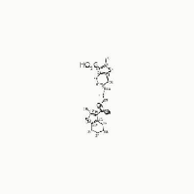 Cc1sc2c(c1C(=O)O)CCC(CCCOC(=O)c1c(C)sc3c1CCCC3)C2